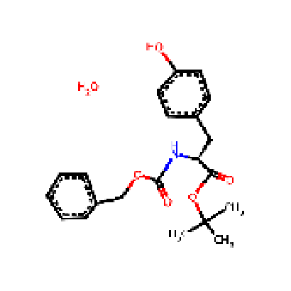 CC(C)(C)OC(=O)[C@H](Cc1ccc(O)cc1)NC(=O)OCc1ccccc1.O